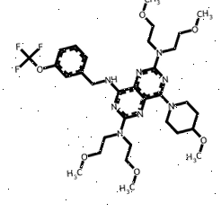 COCCN(CCOC)c1nc(N2CCC(OC)CC2)c2nc(N(CCOC)CCOC)nc(NCc3cccc(OC(F)(F)F)c3)c2n1